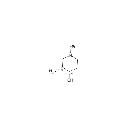 CC(C)(C)N1CC[C@H](O)[C@H](N)C1